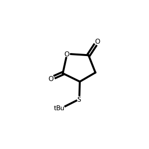 CC(C)(C)SC1CC(=O)OC1=O